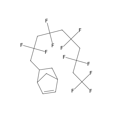 FC(F)(F)CC(F)(F)CC(F)(F)CC(F)(F)CC(F)(F)CC1CC2C=CC1C2